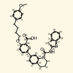 COc1ccc(CCCCOc2ccc(-c3ccc4c(c3)N(C(=O)Nc3nc5ccccc5s3)CCC4)nc2C(=O)O)cc1